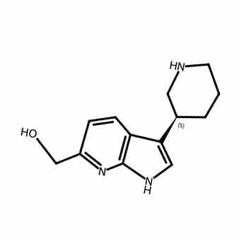 OCc1ccc2c([C@@H]3CCCNC3)c[nH]c2n1